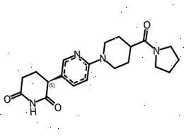 O=C1CC[C@@H](c2ccc(N3CCC(C(=O)N4CCCC4)CC3)nc2)C(=O)N1